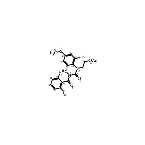 CC(=O)OCCN(C(=O)N(C(C)=O)C(=O)c1c(F)cccc1F)c1ccc(SC(F)(F)F)cc1F